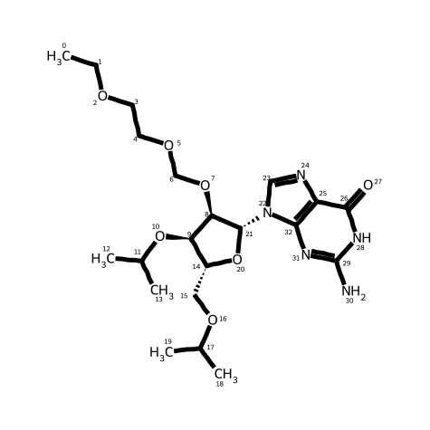 CCOCCOCO[C@@H]1[C@H](OC(C)C)[C@@H](COC(C)C)O[C@H]1n1cnc2c(=O)[nH]c(N)nc21